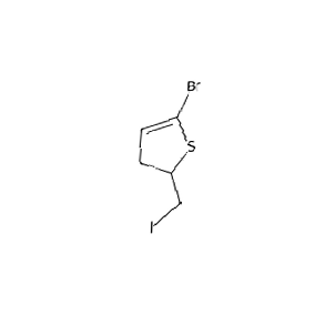 BrC1=CCC(CI)S1